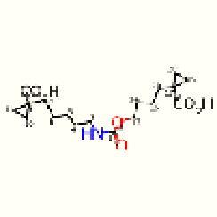 O=C(NCCCCCC1(C(=O)O)CC1)OCCCCC1(C(=O)O)CC1